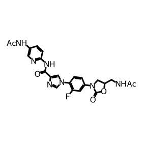 CC(=O)NCC1CN(c2ccc(-n3cnc(C(=O)Nc4ccc(NC(C)=O)cn4)c3)c(F)c2)C(=O)O1